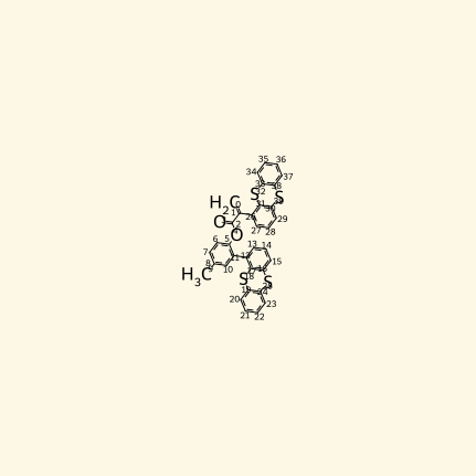 C=C(C(=O)Oc1ccc(C)cc1-c1cccc2c1Sc1ccccc1S2)c1cccc2c1Sc1ccccc1S2